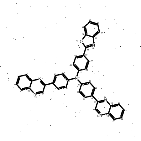 c1ccc2nc(-c3ccc(N(c4ccc(-c5cnc6ccccc6n5)cc4)c4ccc(-c5nc6ccccc6o5)cc4)cc3)cnc2c1